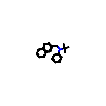 CC(C)(C)N(Cc1ccc2ccccc2c1)c1ccccc1